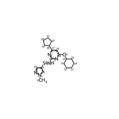 Cn1cc(SNc2nc(OC3CCCCC3)cc(C3CCCC3)n2)cn1